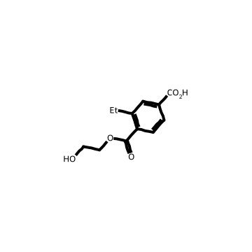 CCc1cc(C(=O)O)ccc1C(=O)OCCO